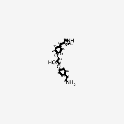 NCCc1ccc(OCC(O)COc2ccc(C=C3CNCS3)cc2)cc1